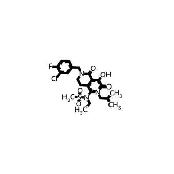 CCN(c1c2c(c(O)c(=O)n1CC(C)C)C(=O)N(Cc1ccc(F)c(Cl)c1)CC2)S(C)(=O)=O